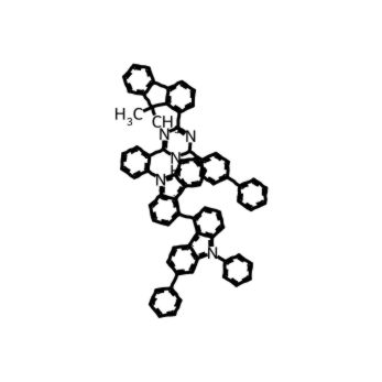 CC1(C)c2ccccc2-c2cccc(C3=NC(c4ccc(-c5ccccc5)cc4)NC(c4ccccc4-n4c5ccccc5c5c(-c6cccc7c6c6ccc(-c8ccccc8)cc6n7-c6ccccc6)cccc54)=N3)c21